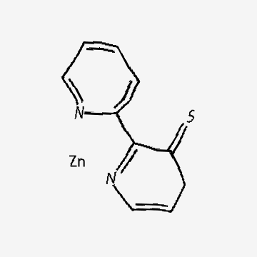 S=C1CC=CN=C1c1ccccn1.[Zn]